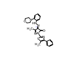 CC1=NN(c2nc(-c3ccccc3)c(C)s2)C(=O)/C1=N/Nc1ccccc1N1CCOCC1